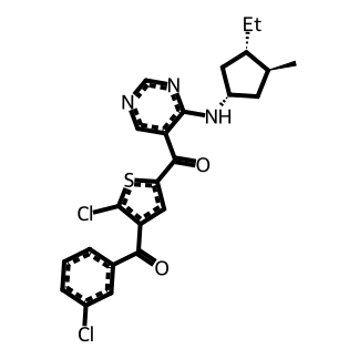 CC[C@H]1C[C@@H](Nc2ncncc2C(=O)c2cc(C(=O)c3cccc(Cl)c3)c(Cl)s2)C[C@@H]1C